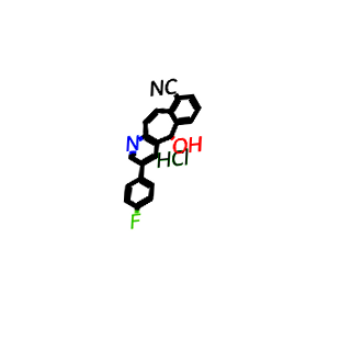 Cl.N#Cc1cccc2c1C=Cc1ncc(-c3ccc(F)cc3)cc1C2O